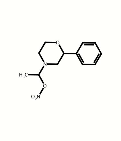 CC(O[N+](=O)[O-])N1CCOC(c2ccccc2)C1